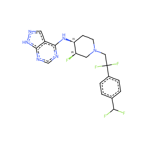 FC(F)c1ccc(C(F)(F)CN2CC[C@H](Nc3ncnc4[nH]ncc34)[C@H](F)C2)cc1